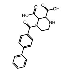 O=C(O)C1NCCN(C(=O)c2ccc(-c3ccccc3)cc2)C1C(=O)O